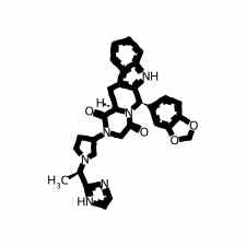 C[C@H](c1ncc[nH]1)N1CCC(N2CC(=O)N3[C@@H](c4ccc5c(c4)OCO5)c4[nH]c5ccccc5c4C[C@@H]3C2=O)C1